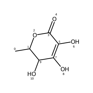 CC1OC(=O)C(O)=C(O)C1O